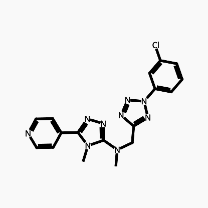 CN(Cc1nnn(-c2cccc(Cl)c2)n1)c1nnc(-c2ccncc2)n1C